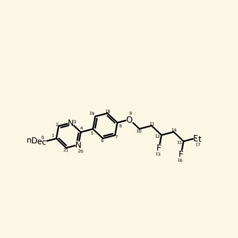 CCCCCCCCCCc1cnc(-c2ccc(OCCC(F)CC(F)CC)cc2)nc1